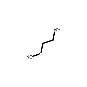 CCCCCOC#N